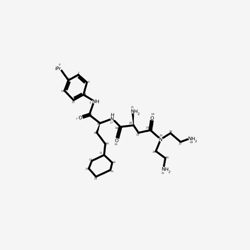 CC(C)c1ccc(NC(=O)[C@H](CCC2CCCCC2)NC(=O)[C@@H](N)CC(=O)N(CCN)CCN)cc1